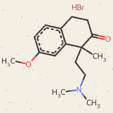 Br.COc1ccc2c(c1)C(C)(CCN(C)C)C(=O)CC2